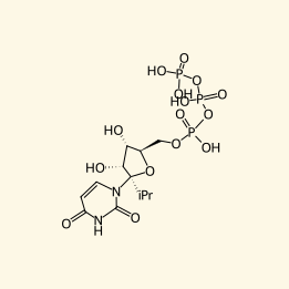 CC(C)[C@@]1(n2ccc(=O)[nH]c2=O)O[C@H](COP(=O)(O)OP(=O)(O)OP(=O)(O)O)[C@@H](O)[C@H]1O